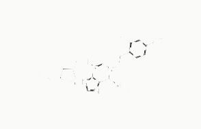 NC1c2ncn([C@@H]3O[C@H](CO)C(O)C3O)c2N=CN1OCc1ccc(C(F)(F)F)cc1C(F)(F)F